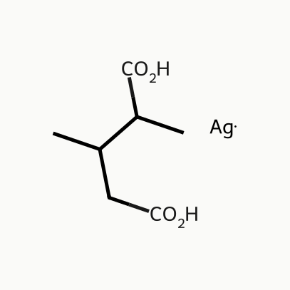 CC(CC(=O)O)C(C)C(=O)O.[Ag]